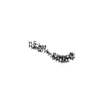 CC(C)C[C@H](NC(=O)CCSSCCC(=O)O[C@H]1CC[C@@]2(C)C(=CC[C@@H]3[C@@H]2CC[C@]2(C)C(c4cccnc4)=CC[C@@H]32)C1)C(=O)O